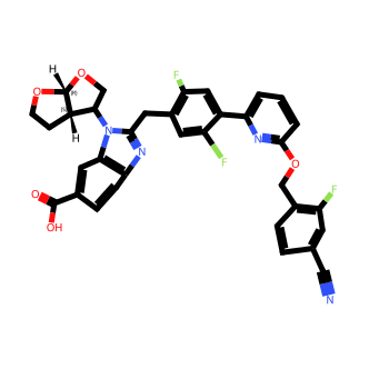 N#Cc1ccc(COc2cccc(-c3cc(F)c(Cc4nc5ccc(C(=O)O)cc5n4C4CO[C@H]5OCC[C@@H]45)cc3F)n2)c(F)c1